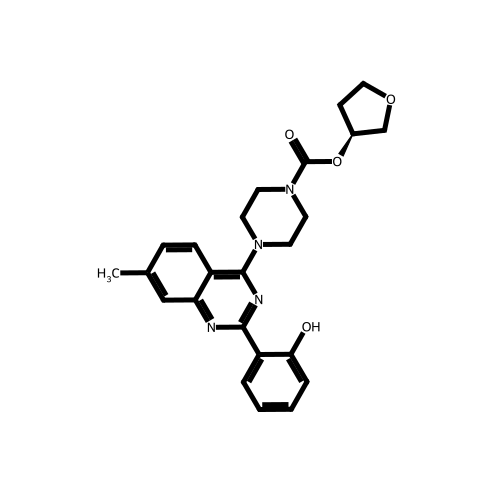 Cc1ccc2c(N3CCN(C(=O)O[C@H]4CCOC4)CC3)nc(-c3ccccc3O)nc2c1